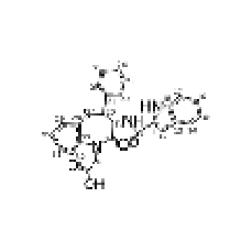 O=C(O)CN1C(=O)[C@@H](NC(=O)c2cc3ccccc3[nH]2)[C@H](c2ccccc2)Sc2ccccc21